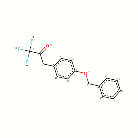 O=C(Cc1ccc(OCc2ccccc2)cc1)C(F)(F)F